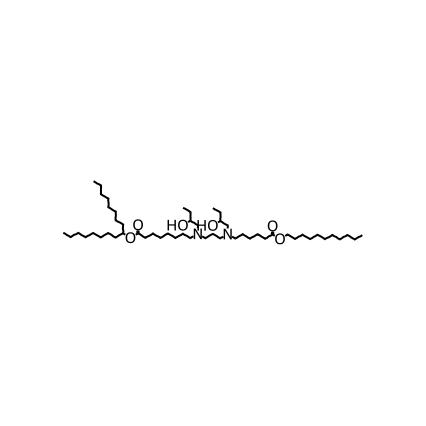 CCCCCCCCCCCOC(=O)CCCCCN(CCCN(CCCCCCCC(=O)OC(CCCCCCCC)CCCCCCCC)CC(O)CC)CC(O)CC